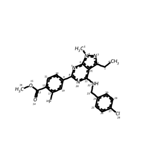 CCc1nn(C)c2nc(-c3ccc(C(=O)OC)c(F)c3)nc(NCc3ccc(Cl)cc3)c12